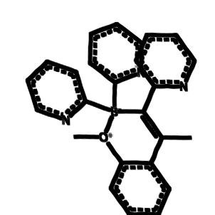 CC1=C(c2ccccn2)[B-](c2ccccn2)(c2ccccn2)[O+](C)c2ccccc21